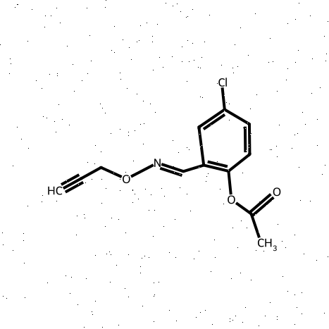 C#CCON=Cc1cc(Cl)ccc1OC(C)=O